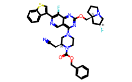 N#CC[C@H]1CN(c2nc(OC[C@@]34CCCN3C[C@H](F)C4)nc3c(F)c(-c4csc5ccccc45)ncc23)CCN1C(=O)OCc1ccccc1